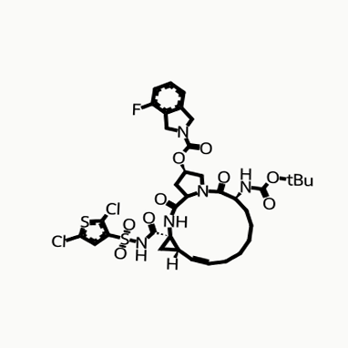 CC(C)(C)OC(=O)N[C@H]1CCCCC/C=C\[C@@H]2C[C@@]2(C(=O)NS(=O)(=O)c2cc(Cl)sc2Cl)NC(=O)C2C[C@@H](OC(=O)N3Cc4cccc(F)c4C3)CN2C1=O